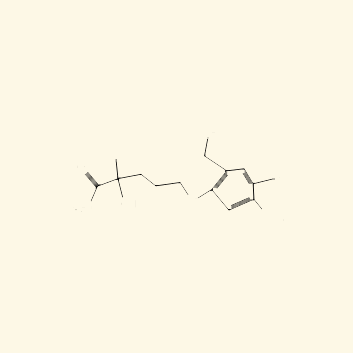 Cc1cc(OCCCC(C)(C)C(=O)OCC(C)C)c(CO)cc1Br